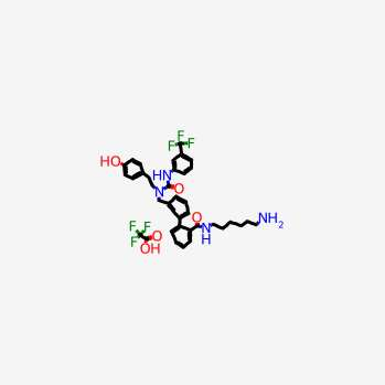 NCCCCCCNC(=O)c1ccccc1-c1cccc(CN(CCc2ccc(O)cc2)C(=O)Nc2cccc(C(F)(F)F)c2)c1.O=C(O)C(F)(F)F